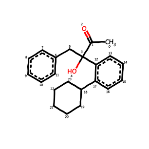 CC(=O)C(O)(Cc1ccccc1)c1ccccc1C1CCCCC1